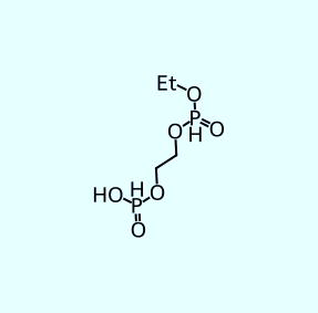 CCO[PH](=O)OCCO[PH](=O)O